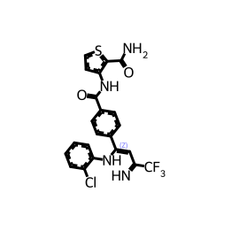 N=C(/C=C(\Nc1ccccc1Cl)c1ccc(C(=O)Nc2ccsc2C(N)=O)cc1)C(F)(F)F